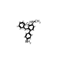 CNc1ccc(-c2ccc(N)cc2)c(Cc2ccccc2)c1C